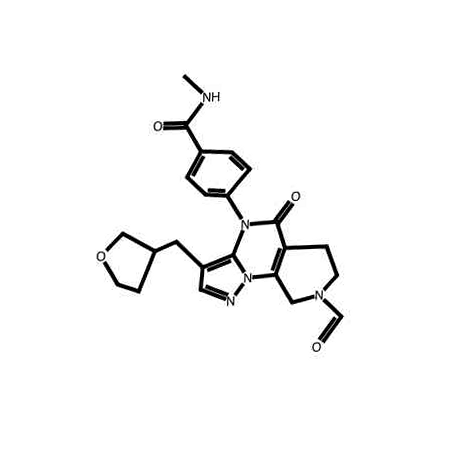 CNC(=O)c1ccc(-n2c(=O)c3c(n4ncc(CC5CCOC5)c24)CN(C=O)CC3)cc1